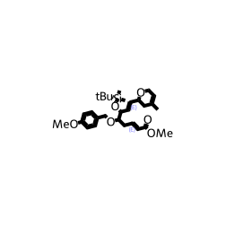 COC(=O)/C=C/CC(OCc1ccc(OC)cc1)C(/C=C/C1CC(C)=CCO1)O[Si](C)(C)C(C)(C)C